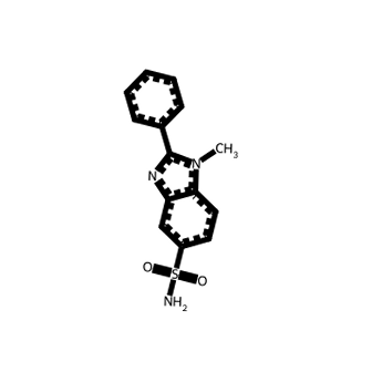 Cn1c(-c2ccccc2)nc2cc(S(N)(=O)=O)ccc21